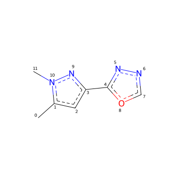 Cc1cc(-c2nnco2)nn1C